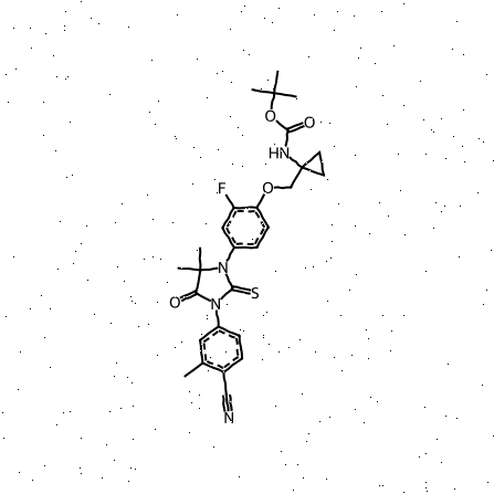 Cc1cc(N2C(=O)C(C)(C)N(c3ccc(OCC4(NC(=O)OC(C)(C)C)CC4)c(F)c3)C2=S)ccc1C#N